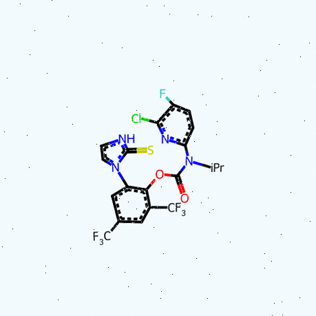 CC(C)N(C(=O)Oc1c(-n2cc[nH]c2=S)cc(C(F)(F)F)cc1C(F)(F)F)c1ccc(F)c(Cl)n1